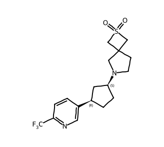 O=S1(=O)CC2(CCN([C@H]3CC[C@@H](c4ccc(C(F)(F)F)nc4)C3)C2)C1